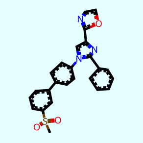 CS(=O)(=O)c1cccc(-c2ccc(-n3cc(-c4ncco4)nc3-c3ccccc3)cc2)c1